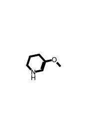 COC1=CNCCC1